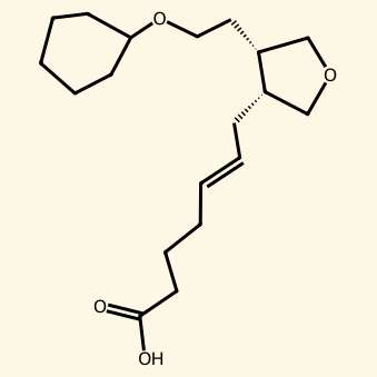 O=C(O)CCCC=CC[C@H]1COC[C@H]1CCOC1CCCCC1